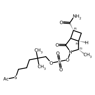 CC(=O)SCCCC(C)(C)COS(=O)(=O)ON1C(=O)C2[C@@H](C[C@H]2C(N)=O)[C@@H]1C